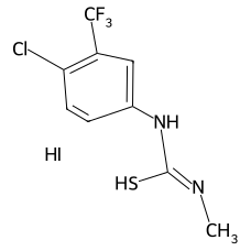 CN=C(S)Nc1ccc(Cl)c(C(F)(F)F)c1.I